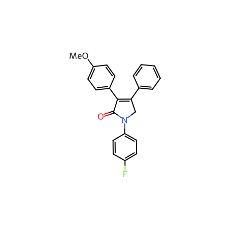 COc1ccc(C2=C(c3ccccc3)CN(c3ccc(F)cc3)C2=O)cc1